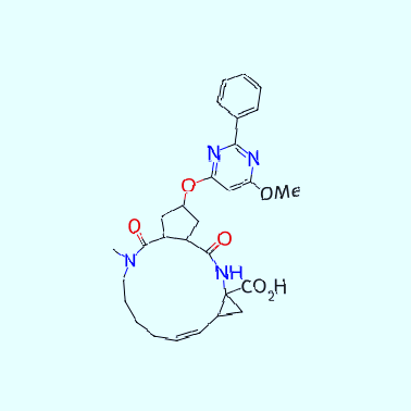 COc1cc(OC2CC3C(=O)NC4(C(=O)O)CC4C=CCCCCN(C)C(=O)C3C2)nc(-c2ccccc2)n1